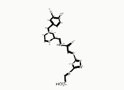 O=C(O)CSc1nnc(SCC(=O)NCC2CN(Cc3ccc(Cl)c(Cl)c3)CCO2)s1